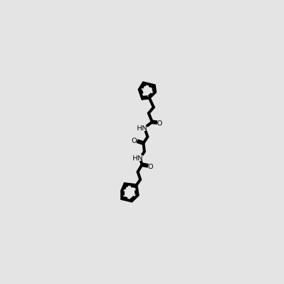 O=C(CNC(=O)CCc1ccccc1)CNC(=O)CCc1ccccc1